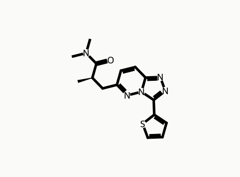 C[C@H](Cc1ccc2nnc(-c3cccs3)n2n1)C(=O)N(C)C